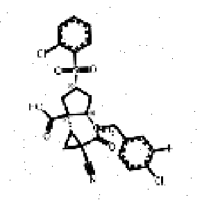 N#CC1(C(N)=O)CC1[C@]1(C(=O)O)C[C@@H](S(=O)(=O)c2ccccc2Cl)C[C@H]1OCc1ccc(Cl)c(F)c1